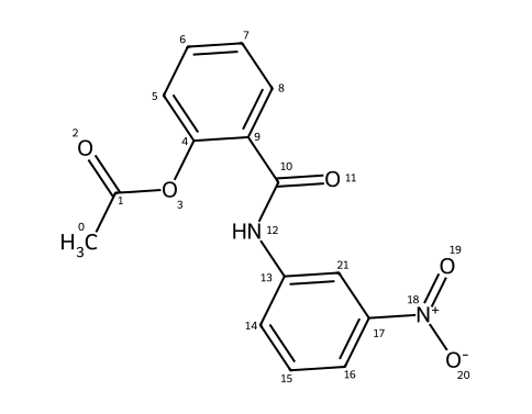 CC(=O)Oc1ccccc1C(=O)Nc1cccc([N+](=O)[O-])c1